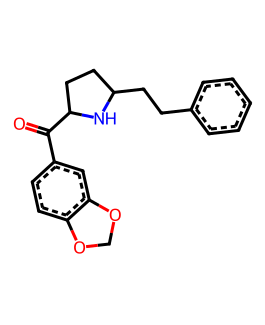 O=C(c1ccc2c(c1)OCO2)C1CCC(CCc2ccccc2)N1